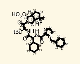 CC(C)(C)[C@H](NC(=O)[C@@H](NC(=O)c1nccn1Cc1ccccc1)C1CCCCC1)C(=O)N1C[C@H]2[C@H](CCC2(F)F)[C@H]1C(=O)O